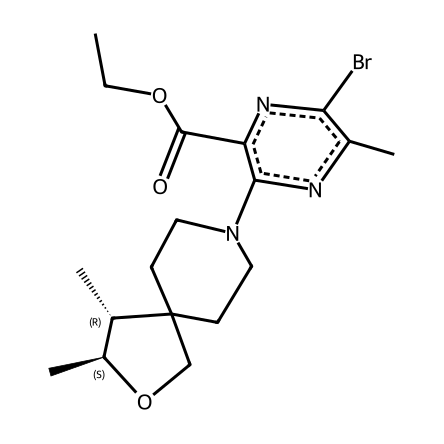 CCOC(=O)c1nc(Br)c(C)nc1N1CCC2(CC1)CO[C@@H](C)[C@@H]2C